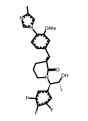 COc1cc(/C=C2\CCCN([C@H](c3cc(F)c(F)c(F)c3)[C@@H](C)O)C2=O)ccc1-n1cnc(C)c1